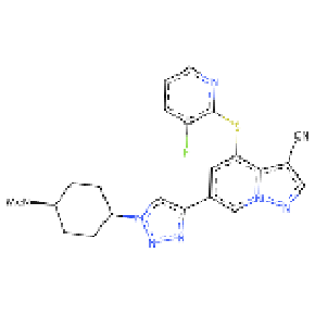 CN[C@H]1CC[C@@H](n2cc(-c3cc(Sc4ncccc4F)c4c(C#N)cnn4c3)nn2)CC1